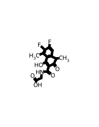 Cc1c(F)c(F)cc2c1C(O)=C(C(=O)NCC(=O)O)C(=O)C2C